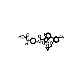 COc1ccc(OCC2CC2)c(-c2ccnc3c(C(=O)N[C@H]4CC[C@H](NC(=O)O)CC4)c(C)[nH]c23)c1